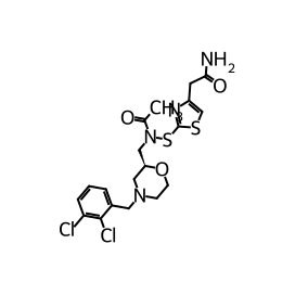 CC(=O)N(C[C@@H]1CN(Cc2cccc(Cl)c2Cl)CCO1)Sc1nc(CC(N)=O)cs1